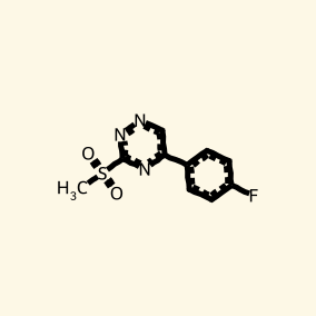 CS(=O)(=O)c1nncc(-c2ccc(F)cc2)n1